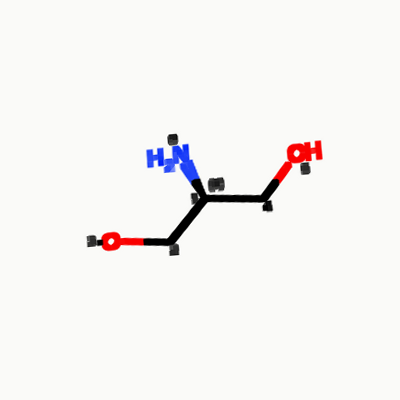 N[C@H](C[O])CO